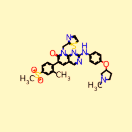 Cc1cc(S(C)(=O)=O)ccc1-c1cc2cnc(Nc3ccc(OC4CCN(C)C4)cc3)nc2n(Cc2nccs2)c1=O